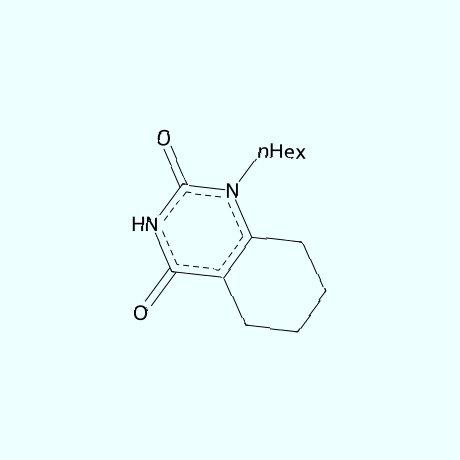 CCCCCCn1c2c(c(=O)[nH]c1=O)CCCC2